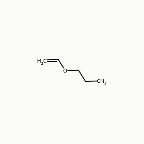 C=CO[CH]CC